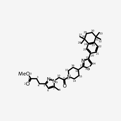 COC(=O)CCc1cc(C)n(CC(=O)N2CCC(c3nc(-c4ccc5c(c4)C(C)(C)CCC5(C)C)cs3)CC2)n1